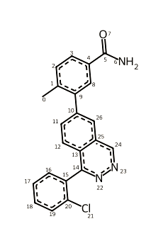 Cc1ccc(C(N)=O)cc1-c1ccc2c(-c3ccccc3Cl)nncc2c1